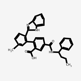 CCCC(NC(=O)c1ccc(-c2cc(C)ccc2-c2nc3ccccc3[nH]2)c(C(=O)O)c1)c1ccccc1